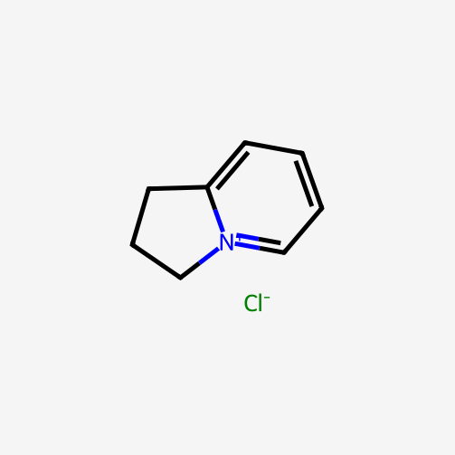 [Cl-].c1cc[n+]2c(c1)CCC2